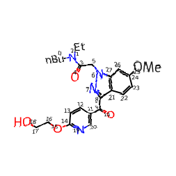 CCCCN(CC)C(=O)Cn1nc(C(=O)c2ccc(OCCO)nc2)c2ccc(OC)cc21